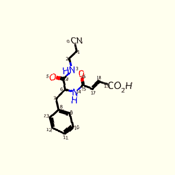 N#CCCNC(=O)C(Cc1ccccc1)NC(=O)C=CC(=O)O